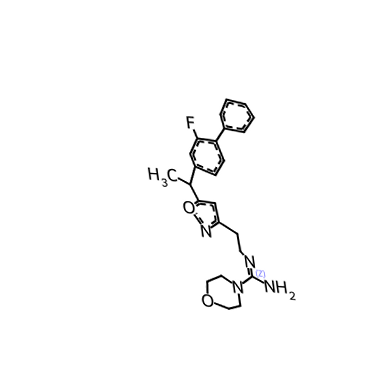 CC(c1ccc(-c2ccccc2)c(F)c1)c1cc(CC/N=C(/N)N2CCOCC2)no1